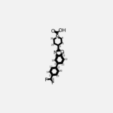 O=C(O)N1CCC(c2nc3cc(-c4ccc(C(F)F)cc4)ccc3o2)CC1